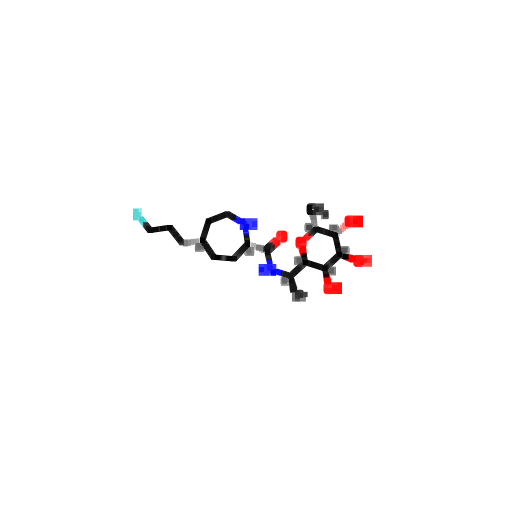 CC(C)[C@@H](NC(=O)[C@@H]1CC[C@H](CCCF)CCN1)[C@H]1O[C@H](C)[C@H](O)[C@@H](O)[C@H]1O